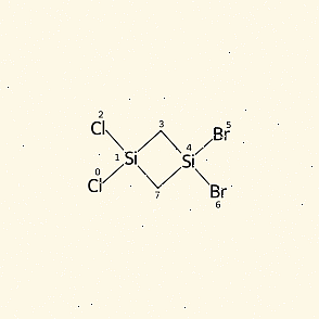 Cl[Si]1(Cl)C[Si](Br)(Br)C1